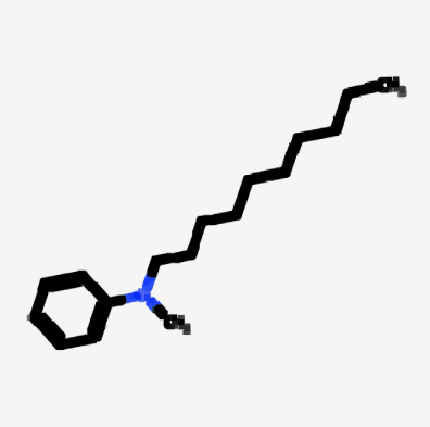 CCCCCCCCCCN(C)c1cc[c]cc1